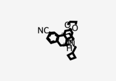 N#Cc1ccc2c(c1)[C@@]13CCN(CC4CCC4)[C@@H](C2)[C@H]1CCC1(C3)OCCO1